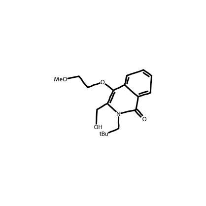 COCCOc1c(CO)n(CC(C)(C)C)c(=O)c2ccccc12